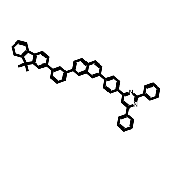 CC1(C)C2=C(C=CCC2)c2ccc(-c3cccc(-c4ccc5ccc(-c6ccc(-c7cc(-c8ccccc8)nc(-c8ccccc8)n7)cc6)cc5c4)c3)cc21